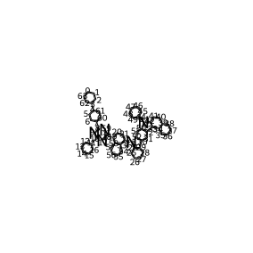 c1ccc(-c2ccc(-c3nc(-c4ccccc4)nc(-c4ccc(-n5c6ccccc6c6cc7c8c9ccccc9ccc8n(-c8ccccc8)c7cc65)c5ccccc45)n3)cc2)cc1